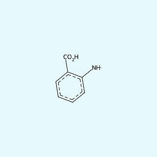 [NH]c1ccccc1C(=O)O